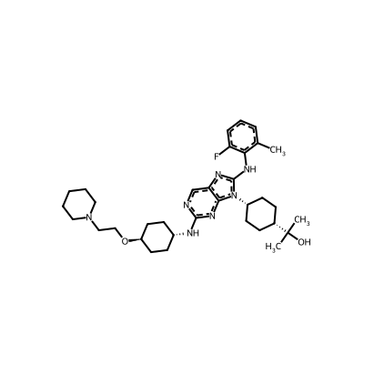 Cc1cccc(F)c1Nc1nc2cnc(N[C@H]3CC[C@H](OCCN4CCCCC4)CC3)nc2n1[C@H]1CC[C@@H](C(C)(C)O)CC1